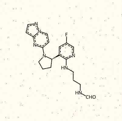 O=CNCCCNc1ncc(F)cc1[C@H]1CCCN1c1ccn2nccc2n1